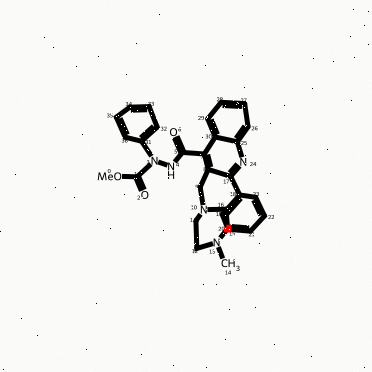 COC(=O)N(NC(=O)c1c(CN2CCN(C)CC2)c(-c2ccccc2)nc2ccccc12)c1ccccc1